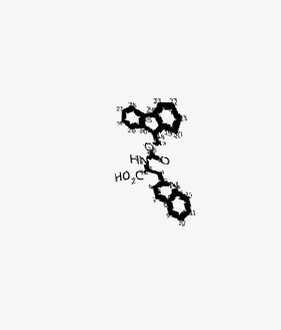 O=C(N[C@@H](Cc1ccc2ccccc2n1)C(=O)O)OCC1c2ccccc2-c2ccccc21